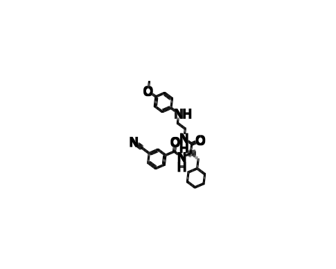 COc1ccc(NCCNC(=O)[C@H](CC2CCCCC2)NC(=O)c2cccc(C#N)c2)cc1